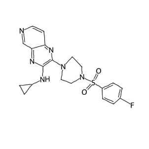 O=S(=O)(c1ccc(F)cc1)N1CCN(c2nc3ccncc3nc2NC2CC2)CC1